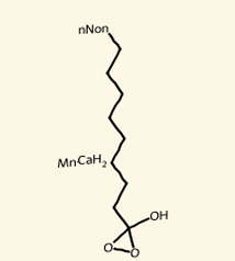 CCCCCCCCCCCCCCCCCC1(O)OO1.[CaH2].[Mn]